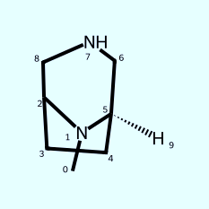 CN1C2CC[C@@H]1CNC2